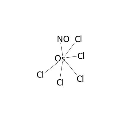 O=[N][Os]([Cl])([Cl])([Cl])([Cl])[Cl]